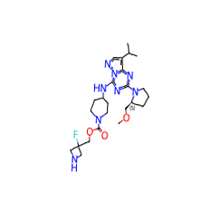 COC[C@@H]1CCCN1c1nc(NC2CCN(C(=O)OCC3(F)CNC3)CC2)n2ncc(C(C)C)c2n1